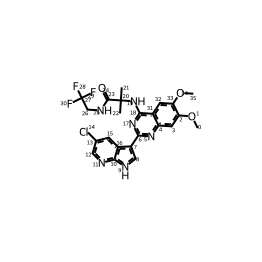 COc1cc2nc(-c3c[nH]c4ncc(Cl)cc34)nc(NC(C)(C)C(=O)NCC(F)(F)F)c2cc1OC